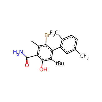 Cc1c(Br)c(-c2cc(C(F)(F)F)ccc2C(F)(F)F)c(C(C)(C)C)c(O)c1C(N)=O